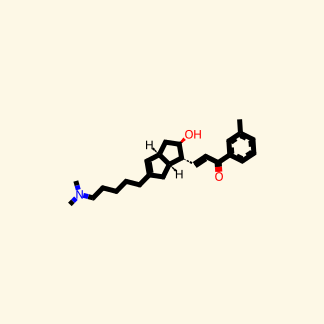 Cc1cccc(C(=O)/C=C/[C@@H]2[C@H]3CC(CCCCCN(C)C)=C[C@H]3C[C@H]2O)c1